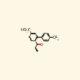 C=CC(=O)c1ccc(C(=O)O)cc1-c1ccc(C(F)(F)F)cc1